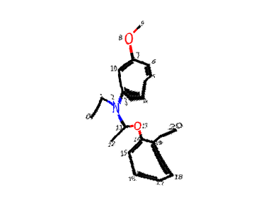 CCN(c1cccc(OC)c1)C(C)Oc1ccccc1C